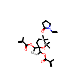 C=C(C)C(=O)OC(CC)C1(C(CC)OC(=O)C(=C)C)CC[Si](C)(C)[Si](C)(C)O1.C=CN1CCCC1=O